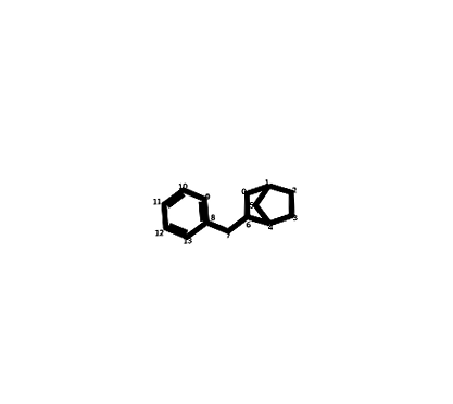 [CH]1C2CCC(C2)C1Cc1ccccc1